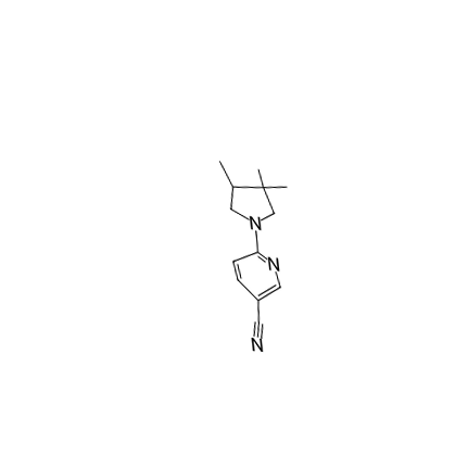 CC1CN(c2ccc(C#N)cn2)CC1(C)C